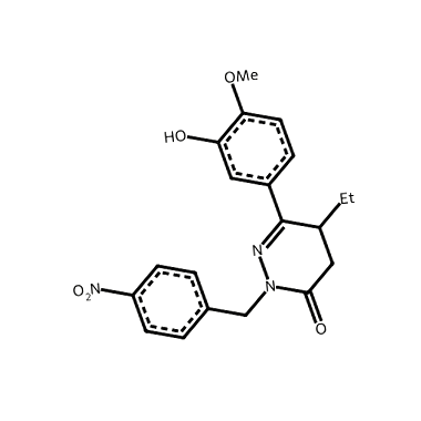 CCC1CC(=O)N(Cc2ccc([N+](=O)[O-])cc2)N=C1c1ccc(OC)c(O)c1